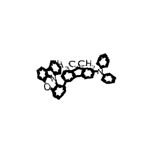 CC1(C)c2ccc(-c3cccc4c3-n3c5ccccc5c5cccc(c53)O4)cc2-c2ccc(N(c3ccccc3)c3ccccc3)cc21